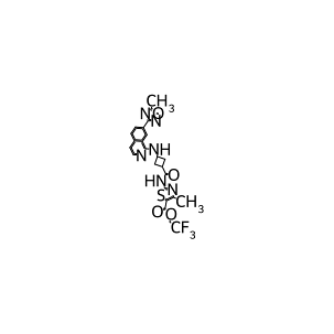 Cc1nc(-c2ccc3ccnc(NC4CC(C(=O)Nc5nc(C)c(C(=O)OCC(F)(F)F)s5)C4)c3c2)no1